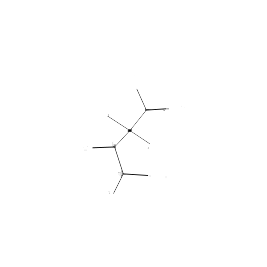 CCCC(CC)C(C)(C)C(Br)C(C)Cl